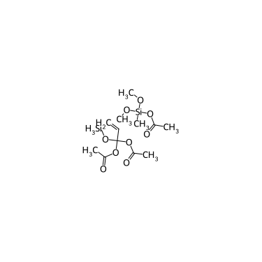 C=CC(O[SiH3])(OC(C)=O)OC(C)=O.CO[Si](C)(OC)OC(C)=O